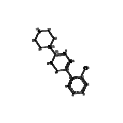 Clc1ccccc1C1=NN=C(N2CCSCC2)SC1